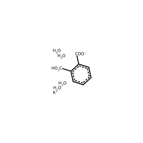 O.O.O.O.O=C([O-])c1ccccc1C(=O)O.[K+]